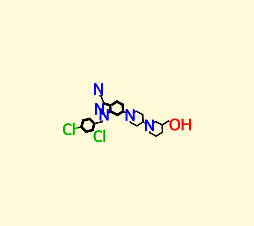 N#Cc1nn(Cc2ccc(Cl)cc2Cl)c2cc(N3CCC(N4CCCC(CO)C4)CC3)ccc12